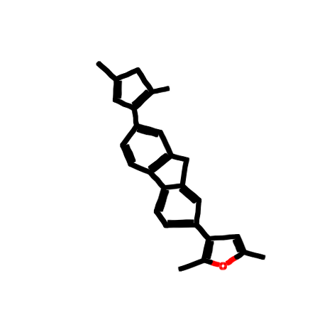 CC1=CC(c2ccc3c(c2)Cc2cc(-c4cc(C)oc4C)ccc2-3)=C(C)C1